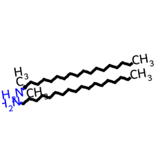 CCCCCCCCCCCCCCCCCC(C)(C)N.CCCCCCCCCCCCCCCCCCN